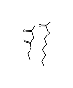 CCCCCCOC(C)=O.CCOC(=O)CC(C)=O